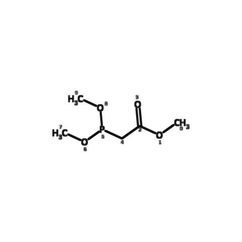 COC(=O)CP(OC)OC